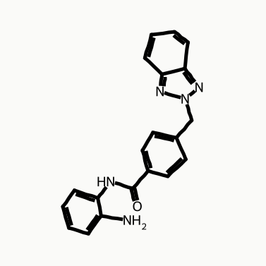 Nc1ccccc1NC(=O)c1ccc(Cn2nc3ccccc3n2)cc1